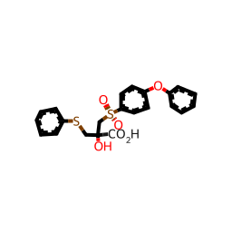 O=C(O)C(O)(CSc1ccccc1)CS(=O)(=O)c1ccc(Oc2ccccc2)cc1